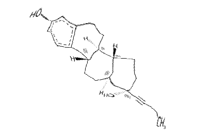 CC#C[C@]1(O)CC[C@H]2[C@@H]3CCc4cc(O)ccc4[C@H]3CC[C@@H]21